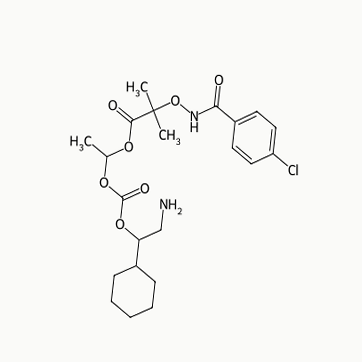 CC(OC(=O)OC(CN)C1CCCCC1)OC(=O)C(C)(C)ONC(=O)c1ccc(Cl)cc1